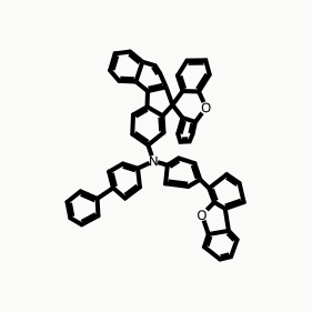 c1ccc(-c2ccc(N(c3ccc(-c4cccc5c4oc4ccccc45)cc3)c3ccc4c(c3)C3(c5ccccc5Oc5ccccc53)c3ccc5ccccc5c3-4)cc2)cc1